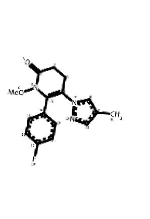 CON1C(=O)CCC(n2cc(C)cn2)=C1c1ccc(F)cc1